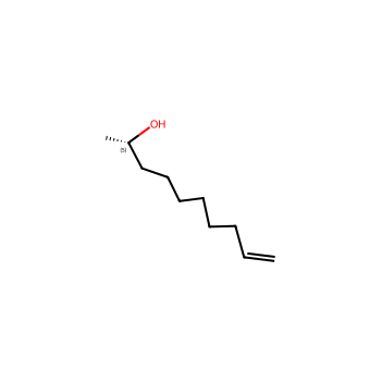 C=CCCCCCC[C@H](C)O